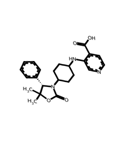 CC1(C)OC(=O)N(C2CCC(Nc3cnccc3C(=O)O)CC2)[C@H]1c1ccccc1